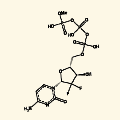 COP(=O)(O)OP(=O)(O)OP(=O)(O)OC[C@H]1O[C@@H](n2ccc(N)nc2=O)C(F)(F)[C@@H]1O